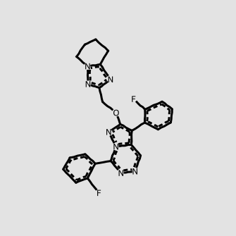 Fc1ccccc1-c1c(OCc2nc3n(n2)CCCC3)nn2c(-c3ccccc3F)nncc12